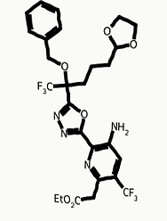 CCOC(=O)Cc1nc(-c2nnc(C(CCCC3OCCO3)(OCc3ccccc3)C(F)(F)F)o2)c(N)cc1C(F)(F)F